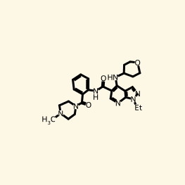 CCn1ncc2c(NC3CCOCC3)c(C(=O)Nc3ccccc3C(=O)N3CCN(C)CC3)cnc21